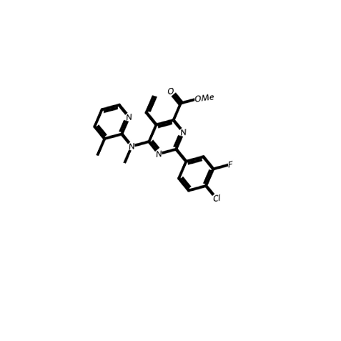 C=Cc1c(C(=O)OC)nc(-c2ccc(Cl)c(F)c2)nc1N(C)c1ncccc1C